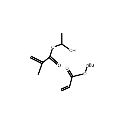 C=C(C)C(=O)OC(C)O.C=CC(=O)OCCCC